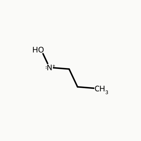 CCC[N+]O